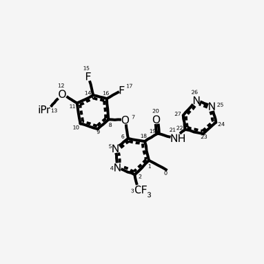 Cc1c(C(F)(F)F)nnc(Oc2ccc(OC(C)C)c(F)c2F)c1C(=O)Nc1ccnnc1